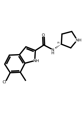 Cc1c(Cl)ccc2cc(C(=O)N[C@@H]3CCNC3)[nH]c12